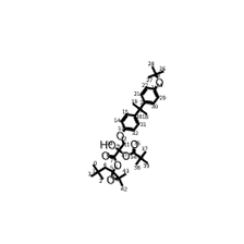 CC(C)(C)CC1(OC(=O)C(O)(COc2ccc(C(C)(C)c3ccc(OC(C)(C)C)cc3)cc2)OC(=O)C(C)(C)C)OC1(C)C